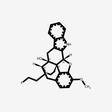 COc1ccc2c3c1O[C@H]1c4[nH]c5ccccc5c4C[C@@]4(O)[C@@H](C2)N(CCF)CC[C@]314